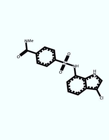 CNC(=O)c1ccc(S(=O)(=O)Nc2cccc3c(Cl)c[nH]c23)cc1